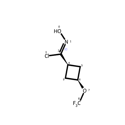 O/N=C(\Cl)[C@H]1C[C@@H](OC(F)(F)F)C1